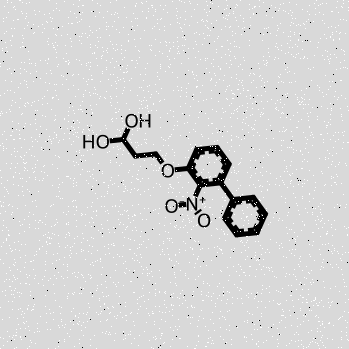 O=[N+]([O-])c1c(OCCC(O)O)cccc1-c1ccccc1